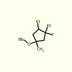 CCC1CC(C)(OC(C)(C)C)CC1(F)CC